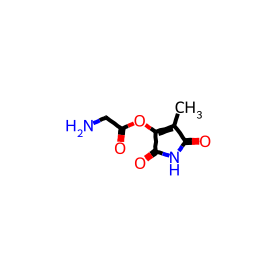 CC1=C(OC(=O)CN)C(=O)NC1=O